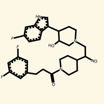 O=NC(CN1CCC(c2c[nH]c3cc(F)ccc23)C(O)C1)C1CCN(C(=O)CCc2cc(F)cc(F)c2)CC1